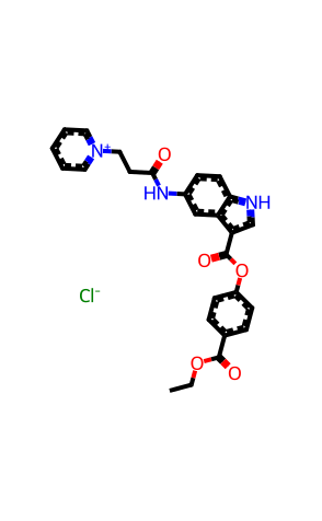 CCOC(=O)c1ccc(OC(=O)c2c[nH]c3ccc(NC(=O)CC[n+]4ccccc4)cc23)cc1.[Cl-]